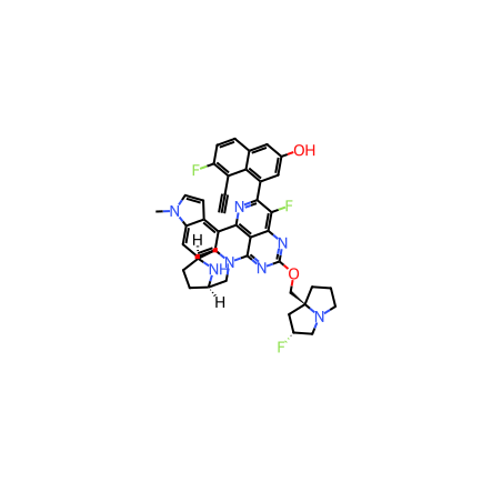 C#Cc1c(F)ccc2cc(O)cc(-c3nc(-c4cccc5c4ccn5C)c4c(N5C[C@H]6CC[C@@H](C5)N6)nc(OC[C@@]56CCCN5C[C@H](F)C6)nc4c3F)c12